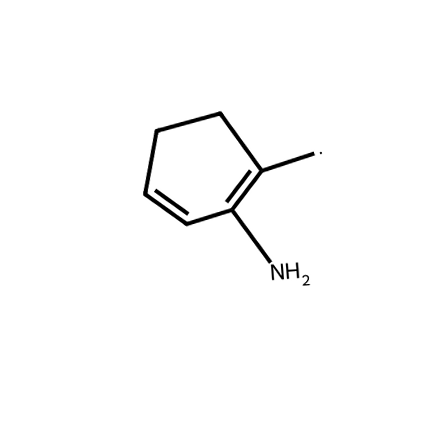 [CH2]C1=C(N)C=CCC1